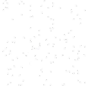 CCNC(=O)Nc1cccc(C=CC[O])c1